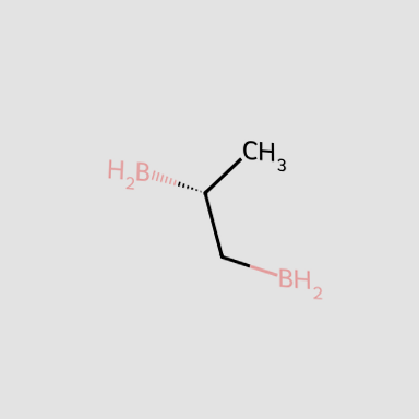 BC[C@H](B)C